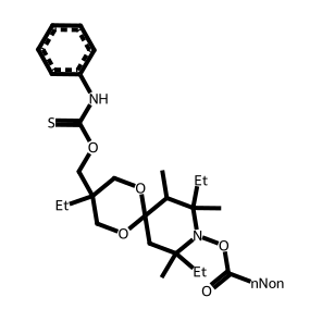 CCCCCCCCCC(=O)ON1C(C)(CC)CC2(OCC(CC)(COC(=S)Nc3ccccc3)CO2)C(C)C1(C)CC